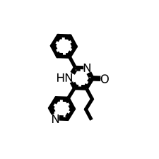 CCCc1c(-c2ccncc2)[nH]c(-c2ccccc2)nc1=O